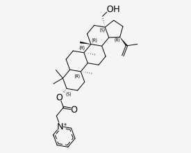 C=C(C)[C@@H]1CC[C@]2(CO)CC[C@]3(C)C(CCC4[C@@]5(C)CC[C@H](OC(=O)C[n+]6ccccc6)C(C)(C)C5CC[C@]43C)C12